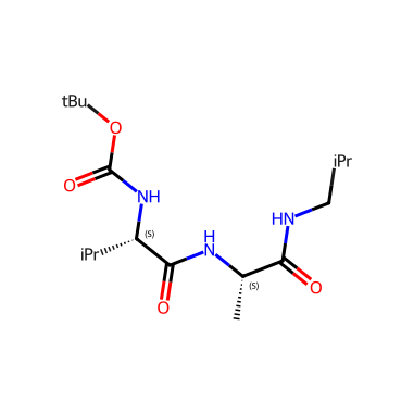 CC(C)CNC(=O)[C@H](C)NC(=O)[C@@H](NC(=O)OC(C)(C)C)C(C)C